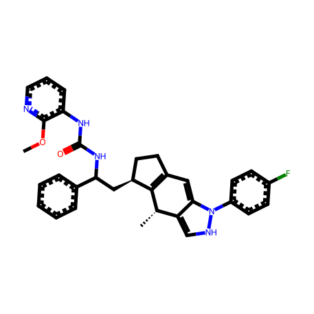 COc1ncccc1NC(=O)NC(C[C@H]1CCC2=C1[C@@H](C)C1=CNN(c3ccc(F)cc3)C1=C2)c1ccccc1